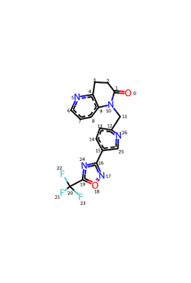 O=C1CCc2ncccc2N1Cc1ccc(-c2noc(C(F)(F)F)n2)cn1